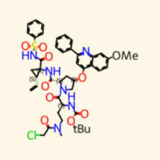 C=C[C@@H]1C[C@]1(NC(=O)[C@@H]1C[C@@H](Oc2cc(-c3ccccc3)nc3cc(OC)ccc23)CN1C(=O)[C@H](CCN(C)C(=O)CCl)NC(=O)OC(C)(C)C)C(=O)NS(=O)(=O)c1ccccc1